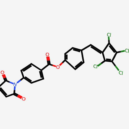 O=C(Oc1ccc(C=C2C(Cl)=C(Cl)C(Cl)=C2Cl)cc1)c1ccc(N2C(=O)C=CC2=O)cc1